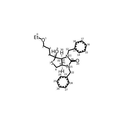 CCOCCCC1(O)SC[C@H]2[C@@H]1N(Cc1ccccc1)C(=O)N2Cc1ccccc1